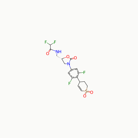 O=C(NC[C@H]1CN(c2cc(F)c(C3C=CS(=O)(=O)CC3)c(F)c2)C(=O)O1)C(F)F